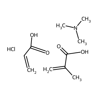 C=C(C)C(=O)O.C=CC(=O)O.CN(C)C.Cl